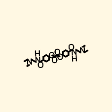 CCN(CC)CCNC(=O)C1CCC(OC(=O)C(=O)OC2CCC(C(=O)NCCN(CC)CC)CC2)CC1